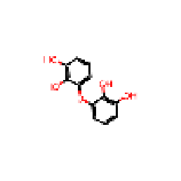 Oc1cccc(Oc2cccc(O)c2O)c1O